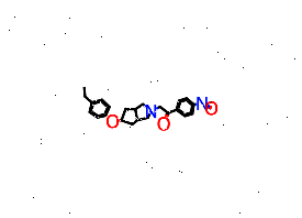 CCc1ccc(OC2CC3CN(CC(=O)c4ccc(N=O)cc4)CC3C2)cc1